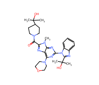 Cn1c(C(=O)N2CCC(C(C)(C)O)CC2)nc2c(N3CCOCC3)nc(-n3c(C(C)(C)O)nc4ccccc43)nc21